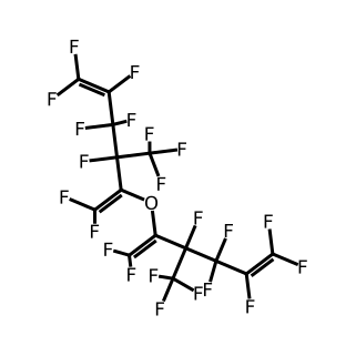 FC(F)=C(F)C(F)(F)C(F)(C(OC(=C(F)F)C(F)(C(F)(F)F)C(F)(F)C(F)=C(F)F)=C(F)F)C(F)(F)F